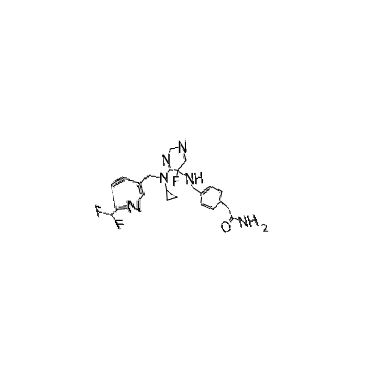 NC(=O)Cc1ccc(CNC2(F)C=NCN=C2N(Cc2ccc(C(F)F)nc2)C2CC2)cc1